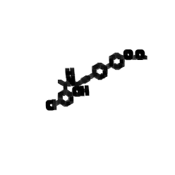 COCOc1ccc(-c2ccc(C#CCNC(C)c3cc(Cl)ccc3O)cc2)cc1